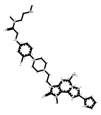 CNCCN(C)C(=O)COc1ccc(N2CCN(CCn3c(=O)n(C)c4c3nc(N)n3nc(-c5ccco5)nc43)CC2)c(F)c1